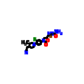 CC1CN(c2ccc(N3CC(CSNC(N)=O)OC3=O)cc2F)CCC1=CC#N